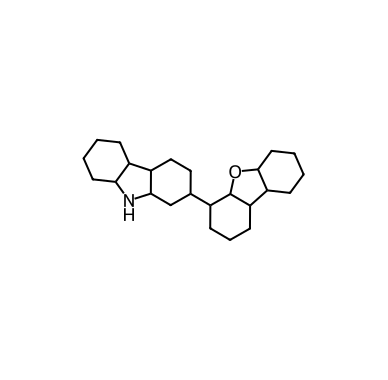 C1CCC2C(C1)NC1CC(C3CCCC4C5CCCCC5OC34)CCC12